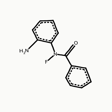 Nc1ccccc1N(F)C(=O)c1ccccc1